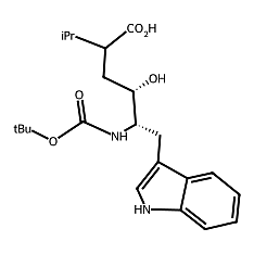 CC(C)C(C[C@H](O)[C@H](Cc1c[nH]c2ccccc12)NC(=O)OC(C)(C)C)C(=O)O